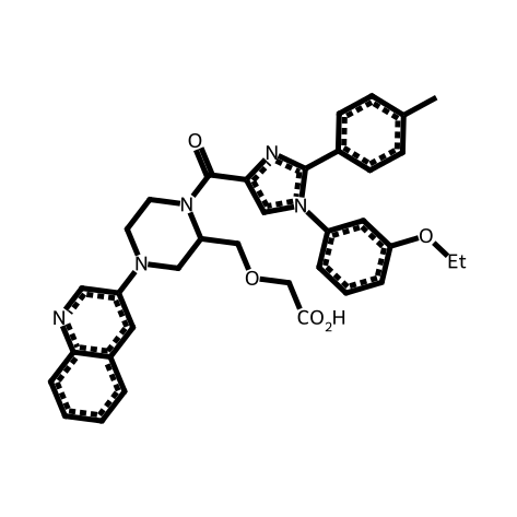 CCOc1cccc(-n2cc(C(=O)N3CCN(c4cnc5ccccc5c4)CC3COCC(=O)O)nc2-c2ccc(C)cc2)c1